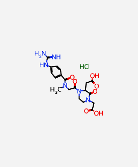 CN(CC(=O)N1CCN(CC(=O)O)C(=O)C1CC(=O)O)C(=O)c1ccc(NC(=N)N)cc1.Cl